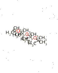 CCC(O[Si](C)(C)C)[Si](C)(C)OC(C)[Si](C)(C)O[Si](C)(C)C